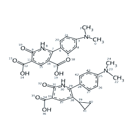 CN(C)c1ccc(-c2[nH]c(=O)c(C(=O)O)cc2C(=O)O)cc1.CN(C)c1ccc(-c2[nH]c(=O)c(C(=O)O)cc2C2CC2)cc1